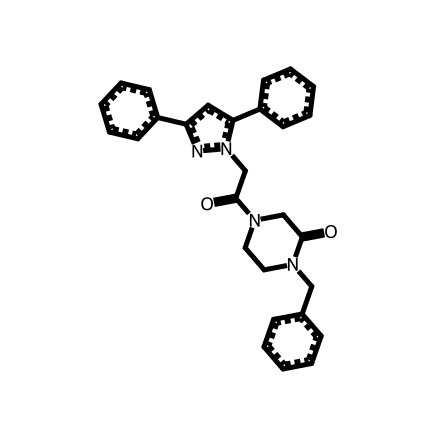 O=C(Cn1nc(-c2ccccc2)cc1-c1ccccc1)N1CCN(Cc2ccccc2)C(=O)C1